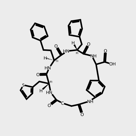 O=C1CCC(=O)N[C@H](Cc2cccs2)C(=O)N[C@@H](CCc2ccccc2)C(=O)N[C@H](Cc2ccccc2)C(=O)NC(C(=O)O)c2ccc(cc2)N1